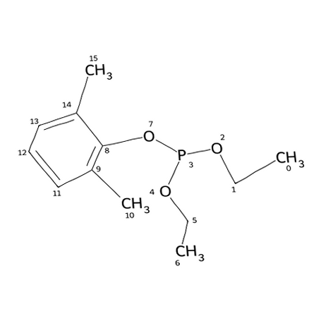 CCOP(OCC)Oc1c(C)cccc1C